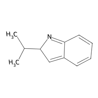 CC(C)C1C=c2ccccc2=N1